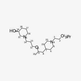 CC(C)OCCN1CCC(CC(C)OCCCN2CCCC(O)C2)CC1